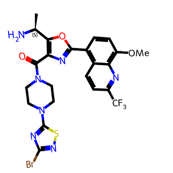 COc1ccc(-c2nc(C(=O)N3CCN(c4nc(Br)ns4)CC3)c([C@H](C)N)o2)c2ccc(C(F)(F)F)nc12